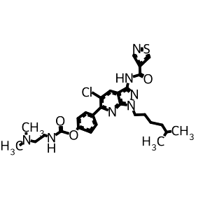 CC(C)CCCCn1nc(NC(=O)c2cnsc2)c2cc(Cl)c(-c3ccc(OC(=O)NCCN(C)C)cc3)nc21